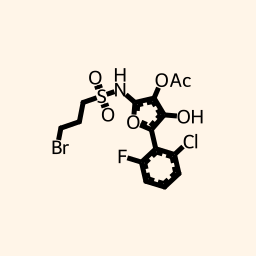 CC(=O)Oc1c(NS(=O)(=O)CCCBr)oc(-c2c(F)cccc2Cl)c1O